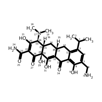 CC(C)c1cc(CN)c(O)c2c1C[C@H]1C[C@H]3[C@H](N(C)C)C(O)=C(C(N)=O)C(=O)[C@@]3(O)C(O)=C1C2=O